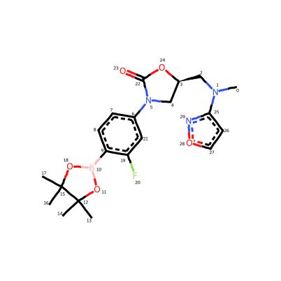 CN(C[C@H]1CN(c2ccc(B3OC(C)(C)C(C)(C)O3)c(F)c2)C(=O)O1)c1ccon1